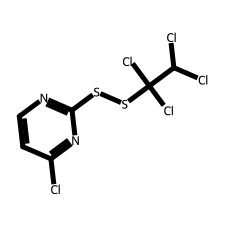 Clc1ccnc(SSC(Cl)(Cl)C(Cl)Cl)n1